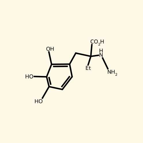 CCC(Cc1ccc(O)c(O)c1O)(NN)C(=O)O